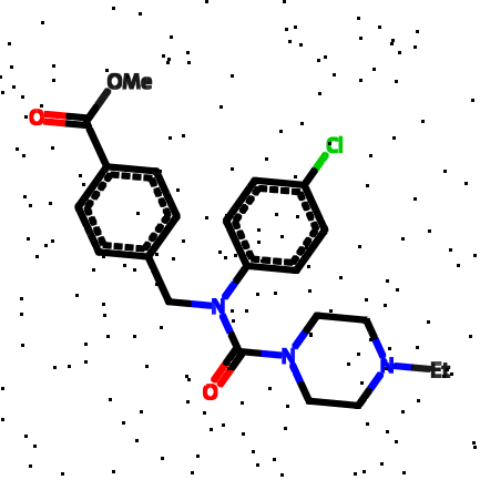 CCN1CCN(C(=O)N(Cc2ccc(C(=O)OC)cc2)c2ccc(Cl)cc2)CC1